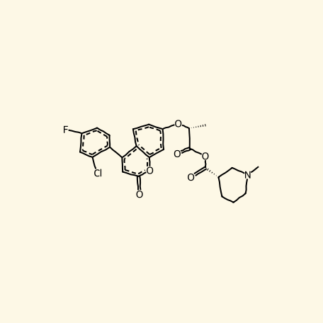 C[C@@H](Oc1ccc2c(-c3ccc(F)cc3Cl)cc(=O)oc2c1)C(=O)OC(=O)[C@H]1CCCN(C)C1